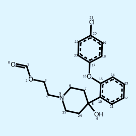 O=COCCN1CCC(O)(c2ccccc2Oc2ccc(Cl)cc2)CC1